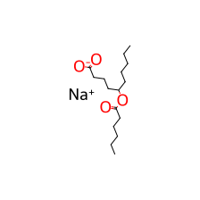 CCCCCC(=O)OC(CCCCC)CCCC(=O)[O-].[Na+]